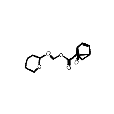 O=C1C2C=CC1C(C(=O)OCOC1CCCCO1)C2